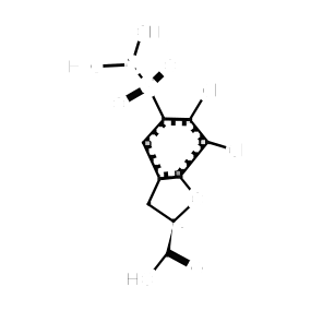 CN(C)S(=O)(=O)c1cc2c(c(Cl)c1Cl)O[C@@H](C(=O)O)C2